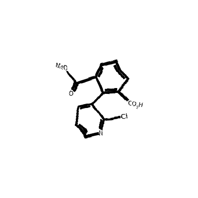 COC(=O)c1cccc(C(=O)O)c1-c1cccnc1Cl